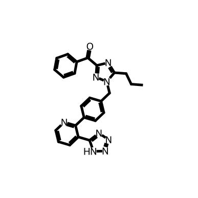 CCCc1nc(C(=O)c2ccccc2)nn1Cc1ccc(-c2ncccc2-c2nnn[nH]2)cc1